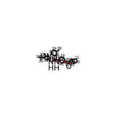 CCCCCCC(=O)N1C2CCC1CC(Cc1cccc(NC(=O)Nc3cc(C(C)(C)C)nn3-c3ccc(C)cc3)c1)C2